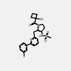 CS(=O)(=O)NC1CCN(C(=O)C2(O)CCC2)C1Cc1cccc(-c2cccc(F)c2)n1